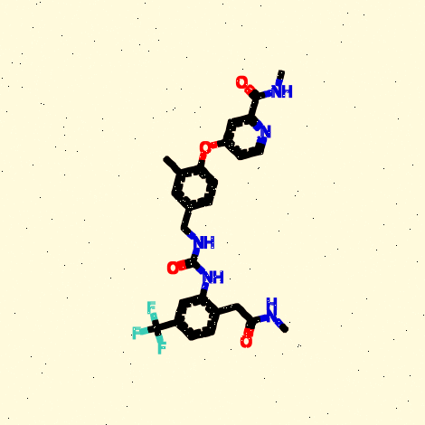 CNC(=O)Cc1ccc(C(F)(F)F)cc1NC(=O)NCc1ccc(Oc2ccnc(C(=O)NC)c2)c(C)c1